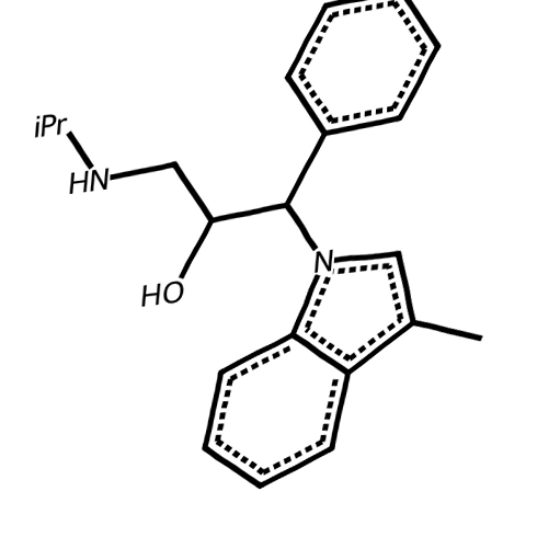 Cc1cn(C(c2ccccc2)C(O)CNC(C)C)c2ccccc12